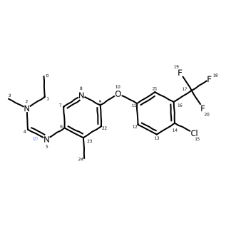 CCN(C)/C=N\c1cnc(Oc2ccc(Cl)c(C(F)(F)F)c2)cc1C